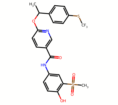 CC(Oc1ccc(C(=O)Nc2ccc(O)c(S(C)(=O)=O)c2)cn1)c1ccc(SC(F)(F)F)cc1